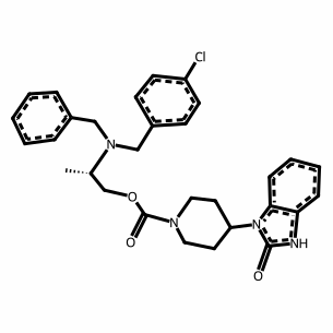 C[C@@H](COC(=O)N1CCC(n2c(=O)[nH]c3ccccc32)CC1)N(Cc1ccccc1)Cc1ccc(Cl)cc1